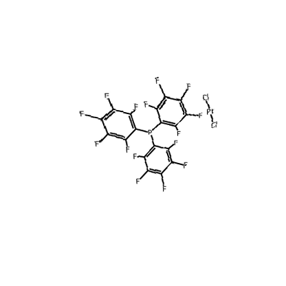 Fc1c(F)c(F)c(P(c2c(F)c(F)c(F)c(F)c2F)c2c(F)c(F)c(F)c(F)c2F)c(F)c1F.[Cl][Pt][Cl]